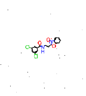 O=C(NCCc1oc2ccccc2[n+]1[O-])c1cc(Cl)cc(Cl)c1